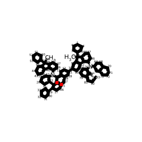 CC1(c2ccccc2)c2cc(-c3ccc4c(N(c5ccccc5-c5ccccc5-c5ccccc5)c5cccc6c5-c5ccccc5C6(C)c5ccccc5)cccc4c3)ccc2-c2c(N(c3ccc4ccccc4c3)c3cccc4ccccc34)cccc21